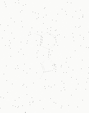 Fc1cccc(-c2csc(Cl)n2)c1